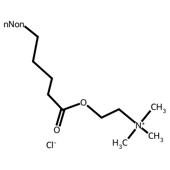 CCCCCCCCCCCCCC(=O)OCC[N+](C)(C)C.[Cl-]